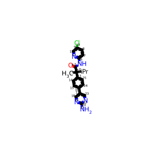 CC(C)C(C)(C(=O)Nc1ccc(Cl)cn1)c1ccc(-c2cnc(N)nc2)cc1